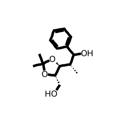 C[C@@H](C(O)c1ccccc1)[C@H]1OC(C)(C)O[C@H]1CO